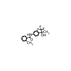 Cc1ccccc1C(=O)Nc1ccc(C(C)(O)C(F)(F)F)cc1